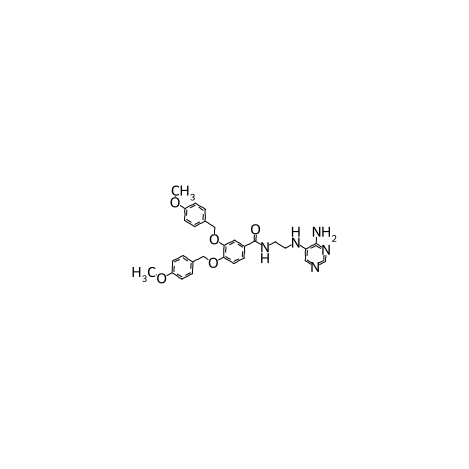 COc1ccc(COc2ccc(C(=O)NCCNc3cncnc3N)cc2OCc2ccc(OC)cc2)cc1